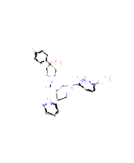 C[C@@H]1CN(C(=O)[C@@H]2CN(c3ccc(C#N)nn3)C[C@H]2c2ccc(F)cn2)C[C@H](C)[C@]1(O)c1ccc(F)cc1